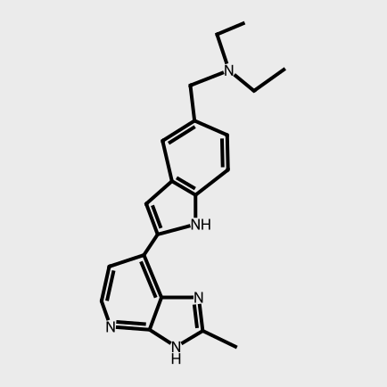 CCN(CC)Cc1ccc2[nH]c(-c3ccnc4[nH]c(C)nc34)cc2c1